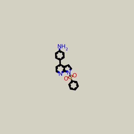 Nc1ccc(-c2ccnc3c2ccn3S(=O)(=O)c2ccccc2)cc1